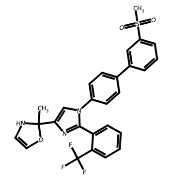 CC1(c2cn(-c3ccc(-c4cccc(S(C)(=O)=O)c4)cc3)c(-c3ccccc3C(F)(F)F)n2)NC=CO1